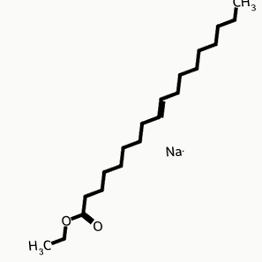 CCCCCCCCC=CCCCCCCCC(=O)OCC.[Na]